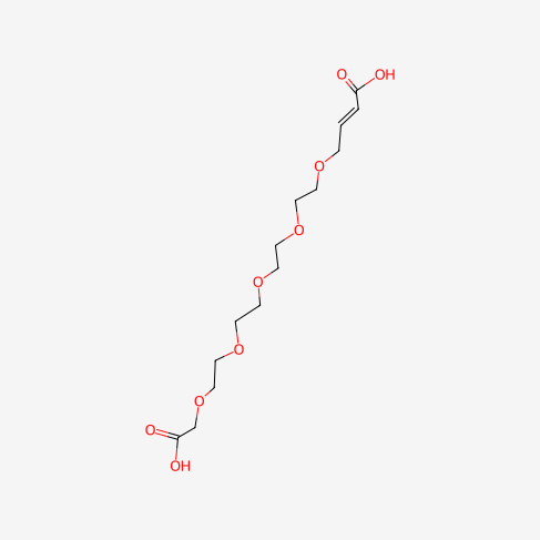 O=C(O)/C=C/COCCOCCOCCOCCOCC(=O)O